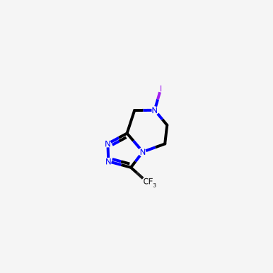 FC(F)(F)c1nnc2n1CCN(I)C2